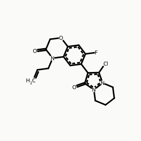 C=CCN1C(=O)COc2cc(F)c(-c3c(Cl)n4n(c3=O)CCCC4)cc21